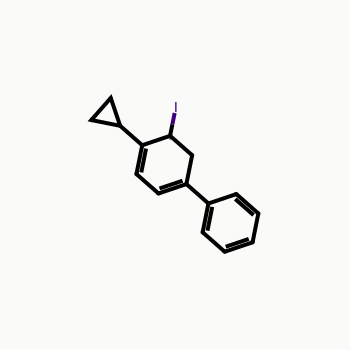 I[C]1CC(c2ccccc2)=CC=C1C1CC1